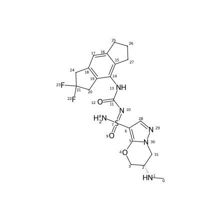 CN[C@@H]1COc2c(S(N)(=O)=NC(=O)Nc3c4c(cc5c3CC(F)(F)C5)CCC4)cnn2C1